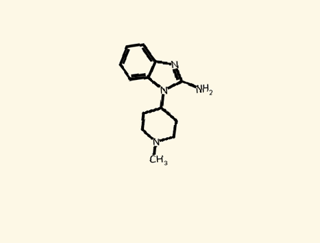 CN1CCC(n2c(N)nc3ccccc32)CC1